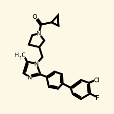 Cc1cnc(-c2ccc(-c3ccc(F)c(Cl)c3)cc2)n1CC1CCN(C(=O)C2CC2)C1